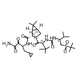 CC(C)[C@@H](CS(=O)(=O)C(C)(C)C)NC(=O)N[C@H](C(=O)N1C[C@H]2[C@@H]([C@H]1C(=O)NC(CC1CC1)C(=O)C(N)=O)C2(C)C)C(C)(C)C